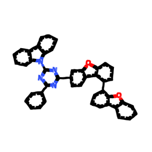 c1ccc(-c2nc(-c3ccc4c(c3)oc3cccc(-c5cccc6c5oc5ccccc56)c34)nc(-n3c4ccccc4c4ccccc43)n2)cc1